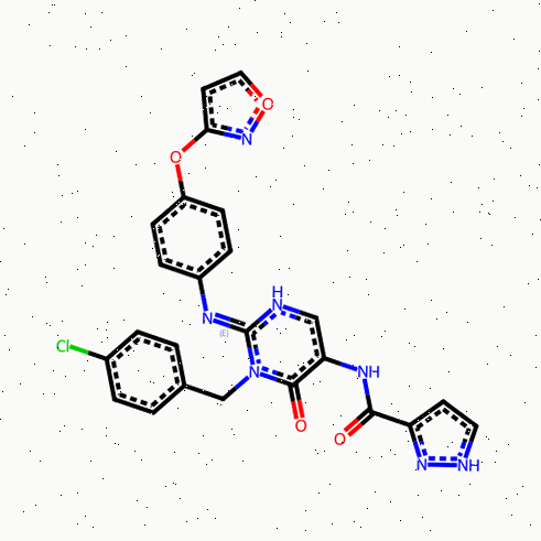 O=C(Nc1c[nH]/c(=N\c2ccc(Oc3ccon3)cc2)n(Cc2ccc(Cl)cc2)c1=O)c1cc[nH]n1